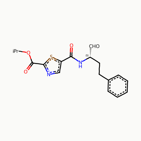 CC(C)OC(=O)c1ncc(C(=O)N[C@H](C=O)CCc2ccccc2)s1